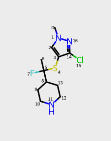 Cn1cc(SC(C)(F)C2CCNCC2)c(Cl)n1